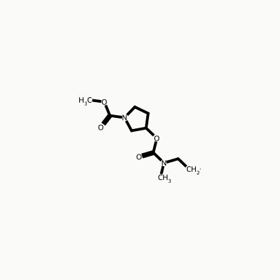 [CH2]CN(C)C(=O)OC1CCN(C(=O)OC)C1